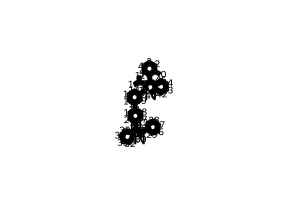 Cc1ccccc1-c1c(C(C)C)c(-c2cccc(-c3ccc(-n4c(-c5ccccc5)nc5ccccc54)cc3)c2)nc2ccccc12